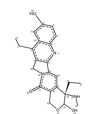 CCc1c2c(nc3ccc(O)cc13)-c1cc3c(c(=O)n1C2)COC(O)[C@@]3(CC)NC